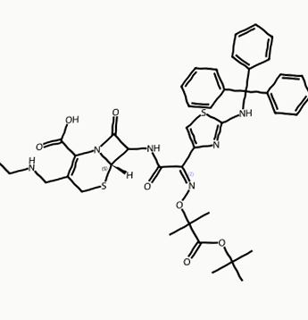 CCNCC1=C(C(=O)O)N2C(=O)C(NC(=O)/C(=N\OC(C)(C)C(=O)OC(C)(C)C)c3csc(NC(c4ccccc4)(c4ccccc4)c4ccccc4)n3)[C@@H]2SC1